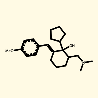 COc1ccc(C=C2CCCC(CN(C)C)C2(O)C2CCCC2)cc1